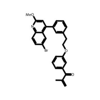 C=C(C)C(=O)c1cccc(OCCc2cccc(-c3cc(OC)nc4ccc(Br)cc34)c2)c1